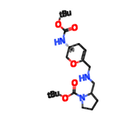 CC(C)(C)OC(=O)N[C@@H]1CC=C(CNCC2CCCN2C(=O)OC(C)(C)C)OC1